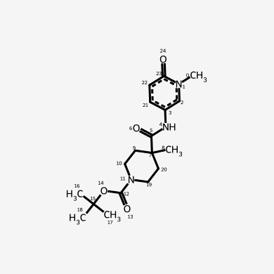 Cn1cc(NC(=O)C2(C)CCN(C(=O)OC(C)(C)C)CC2)ccc1=O